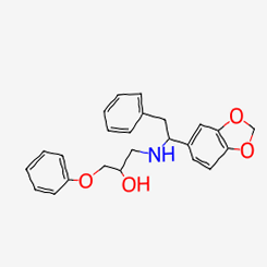 OC(CNC(Cc1ccccc1)c1ccc2c(c1)OCO2)COc1ccccc1